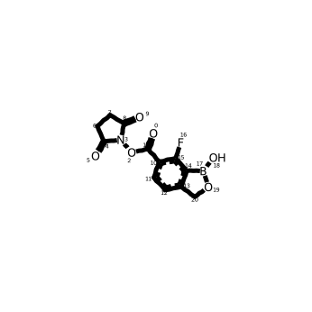 O=C(ON1C(=O)CCC1=O)c1ccc2c(c1F)B(O)OC2